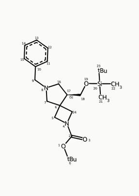 CC(C)(C)OC(=O)N1CC2(CN(Cc3ccccc3)C[C@H]2CO[Si](C)(C)C(C)(C)C)C1